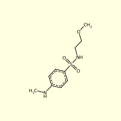 CNc1ccc(S(=O)(=O)NCCOC)cc1